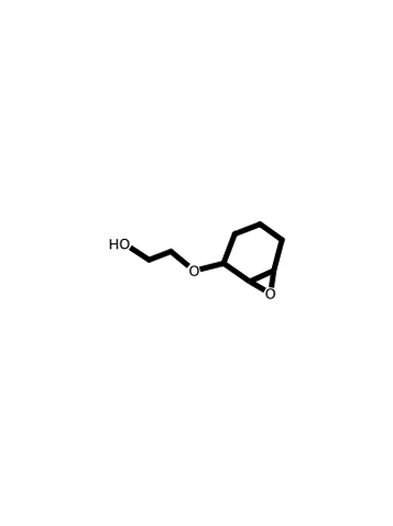 OCCOC1CCCC2OC12